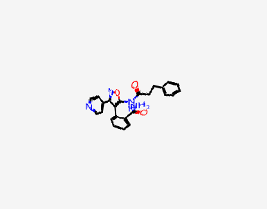 NC(=O)c1ccccc1-c1c(-c2ccncc2)noc1NC(=O)CCc1ccccc1